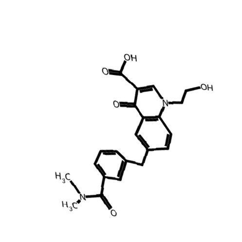 CN(C)C(=O)c1cccc(Cc2ccc3c(c2)c(=O)c(C(=O)O)cn3CCO)c1